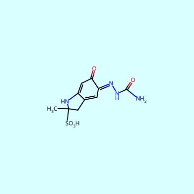 CC1(S(=O)(=O)O)CC2=CC(=NNC(N)=O)C(=O)C=C2N1